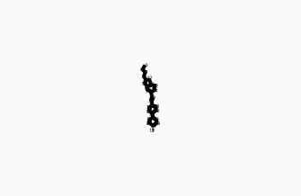 CCCCC1=Cc2cc(C#Cc3ccc(-c4ccc(I)cc4)cc3)ccc2C1